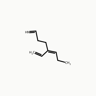 C=C/C(=C\CC)CCC=N